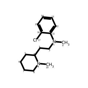 CN(CCC1CCCCN1C)c1ccccc1Cl